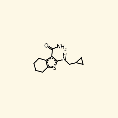 NC(=O)c1c(NCC2CC2)sc2c1CCCC2